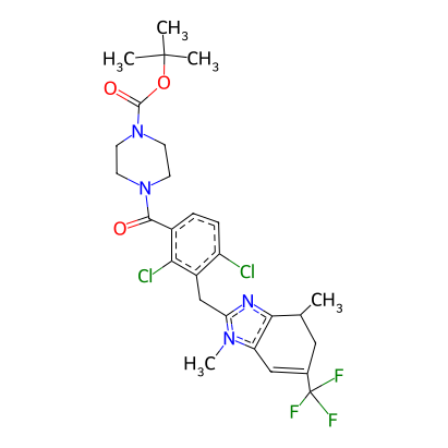 CC1CC(C(F)(F)F)=Cc2c1nc(Cc1c(Cl)ccc(C(=O)N3CCN(C(=O)OC(C)(C)C)CC3)c1Cl)n2C